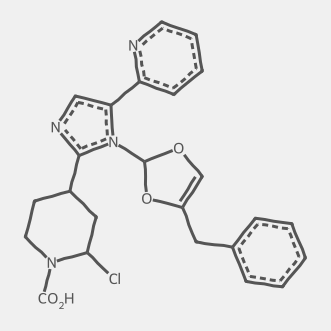 O=C(O)N1CCC(c2ncc(-c3ccccn3)n2C2OC=C(Cc3ccccc3)O2)CC1Cl